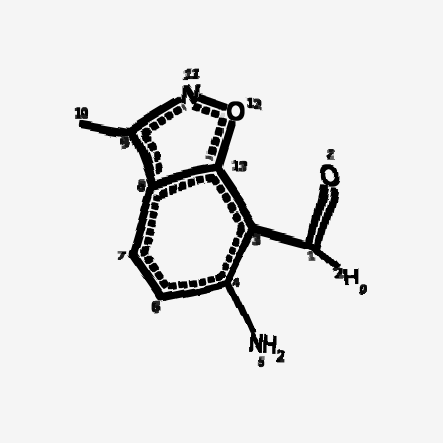 [2H]C(=O)c1c(N)ccc2c(C)noc12